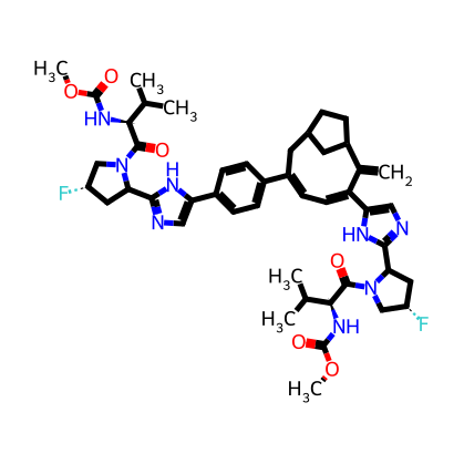 C=C1/C(c2cnc(C3C[C@H](F)CN3C(=O)[C@@H](NC(=O)OC)C(C)C)[nH]2)=C\C=C(\c2ccc(-c3cnc(C4C[C@H](F)CN4C(=O)[C@@H](NC(=O)OC)C(C)C)[nH]3)cc2)CC2CCC1C2